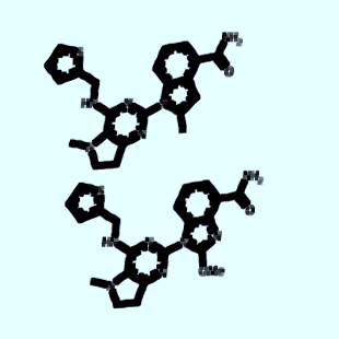 COc1nc2c(C(N)=O)cccc2n1-c1nc2c(c(NCc3cccs3)n1)N(C)CC2.Cc1cc2c(C(N)=O)cccc2n1-c1nc2c(c(NCc3cccs3)n1)N(C)CC2